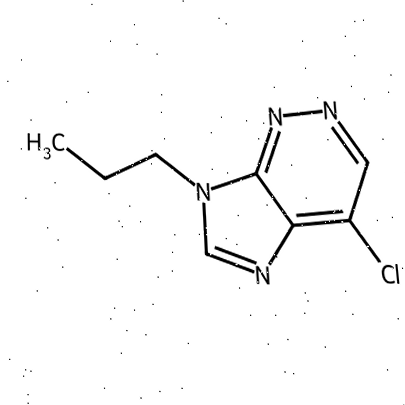 CCCn1cnc2c(Cl)cnnc21